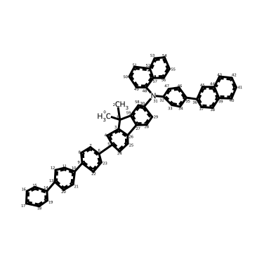 CC1(C)c2cc(-c3ccc(-c4ccc(-c5ccccc5)cc4)cc3)ccc2-c2ccc(N(c3ccc(-c4ccc5ccccc5c4)cc3)c3cccc4ccccc34)cc21